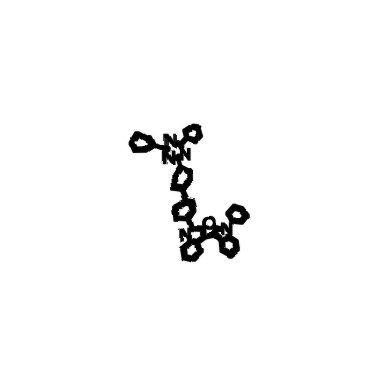 c1ccc(-c2nc(-c3ccccc3)nc(-c3ccc(-c4ccc(-c5nc6ccccc6c6c5oc5c6c6ccccc6n5-c5ccccc5)cc4)cc3)n2)cc1